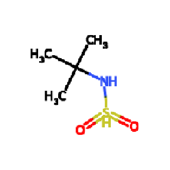 CC(C)(C)N[SH](=O)=O